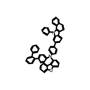 c1ccc(-c2ccccc2-c2ccc(N(c3ccc(-c4ccc5c6ccc7ccccc7c6n(-c6ccccc6)c5c4)cc3)c3cccc4oc5ccccc5c34)cc2)cc1